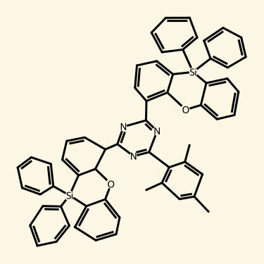 Cc1cc(C)c(-c2nc(-c3cccc4c3Oc3ccccc3[Si]4(c3ccccc3)c3ccccc3)nc(C3C=CC=C4C3Oc3ccccc3[Si]4(c3ccccc3)c3ccccc3)n2)c(C)c1